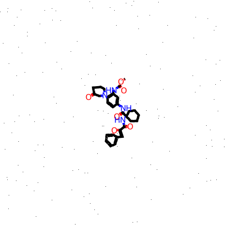 COC(=O)Nc1cc(NC(=O)C2(NC(=O)c3cc4ccccc4o3)CCCCC2)ccc1N1CCCC(=O)C1